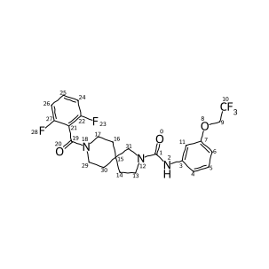 O=C(Nc1cccc(OCC(F)(F)F)c1)N1CCC2(CCN(C(=O)c3c(F)cccc3F)CC2)C1